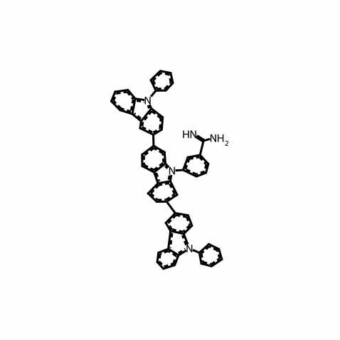 N=C(N)c1cccc(-n2c3cc(-c4ccc5c(c4)c4ccccc4n5-c4ccccc4)ccc3c3ccc(-c4ccc5c(c4)c4ccccc4n5-c4ccccc4)cc32)c1